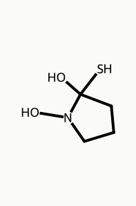 ON1CCCC1(O)S